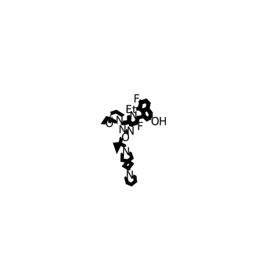 CCc1c(F)ccc2cc(O)cc(-c3ncc4c(N5CCC[C@]6(CCO6)C5)nc(OCC5(CN6CCC7(CC6)CC(N6CCCCC6)C7)CC5)nc4c3F)c12